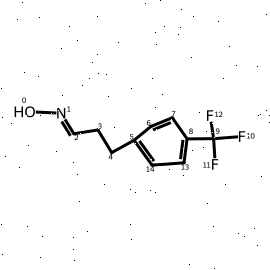 ON=CCCc1ccc(C(F)(F)F)cc1